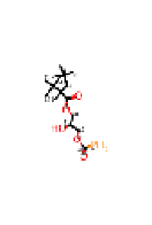 CC(C)(C)CC(C)(C(=O)OCC(O)COC(=O)P)C(C)(C)C